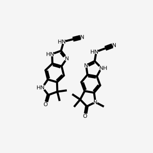 CC1(C)C(=O)Nc2cc3[nH]c(NC#N)nc3cc21.CN1C(=O)C(C)(C)c2cc3nc(NC#N)[nH]c3cc21